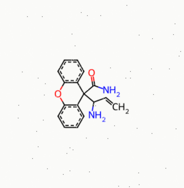 C=CC(N)C1(C(N)=O)c2ccccc2Oc2ccccc21